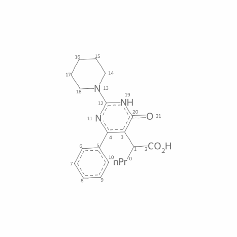 CCCC(C(=O)O)c1c(-c2ccccc2)nc(N2CCCCC2)[nH]c1=O